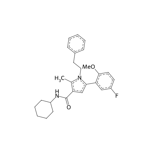 COc1ccc(F)cc1-c1cc(C(=O)NC2CCCCC2)c(C)n1CCc1ccccc1